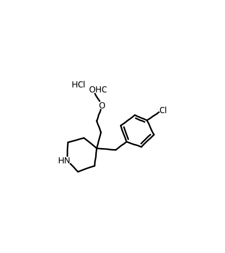 Cl.O=COCCC1(Cc2ccc(Cl)cc2)CCNCC1